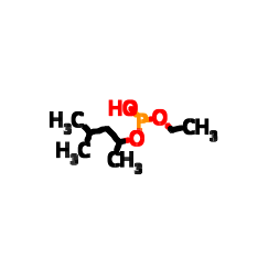 CCOP(O)OC(C)CC(C)C